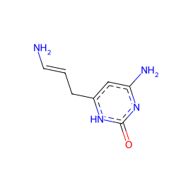 NC=CCc1cc(N)nc(=O)[nH]1